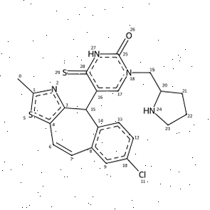 Cc1nc2c(s1)C=Cc1cc(Cl)ccc1C2c1cn(CC2CCCN2)c(=O)[nH]c1=S